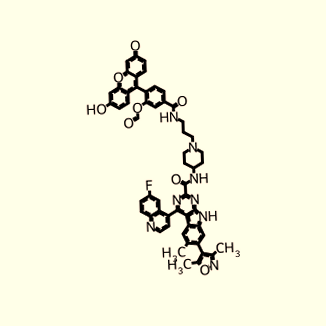 Cc1cc2c(cc1-c1c(C)noc1C)[nH]c1nc(C(=O)NC3CCN(CCCNC(=O)c4ccc(-c5c6ccc(=O)cc-6oc6cc(O)ccc56)c(OC=O)c4)CC3)nc(-c3ccnc4ccc(F)cc34)c12